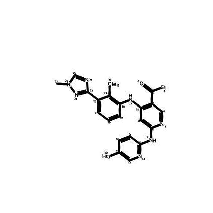 CCC(=O)c1cnc(Nc2ccc(O)cn2)cc1Nc1cccc(-c2ncn(C)n2)c1OC